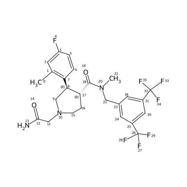 Cc1cc(F)ccc1[C@@H]1CN(CC(N)=O)CC[C@H]1C(=O)N(C)Cc1cc(C(F)(F)F)cc(C(F)(F)F)c1